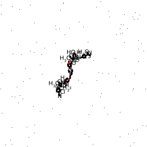 Cc1ncsc1-c1ccc(CNC(=O)[C@@H]2C[C@@H](O)CN2C(=O)[C@@H](C(C)C)N2Cc3ccc(N4CCN(CCCc5ccc(C(=O)N[C@H]6C(C)(C)[C@H](Oc7ccc(C#N)c(Cl)c7)C6(C)C)cc5)CC4)cc3C2=O)cc1